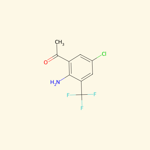 CC(=O)c1cc(Cl)cc(C(F)(F)F)c1N